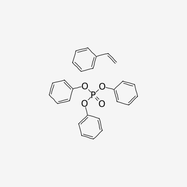 C=Cc1ccccc1.O=P(Oc1ccccc1)(Oc1ccccc1)Oc1ccccc1